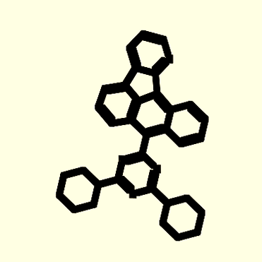 c1cnc2c(c1)-c1cccc3c(-c4nc(C5CCCCC5)nc(C5CCCCC5)n4)c4ccccc4c-2c13